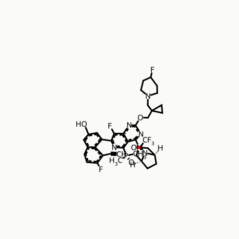 C#Cc1c(F)ccc2cc(O)cc(-c3nc(P(C)(C)=O)c4c(N5C[C@H]6CC[C@@H](C5)N6C(=O)C(F)(F)F)nc(OCC5(CN6CCC(F)CC6)CC5)nc4c3F)c12